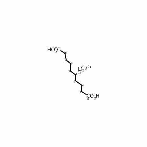 O=C(O)CCCCCCCCC(=O)O.[Ca+2].[Li+]